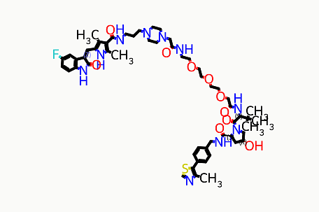 Cc1ncsc1-c1ccc(CNC(=O)[C@@H]2C[C@@H](O)CN2C(=O)[C@@H](NC(=O)COCCOCCOCCNC(=O)CN2CCN(CCCNC(=O)c3c(C)[nH]c(/C=C4\C(=O)Nc5ccc(F)cc54)c3C)CC2)C(C)(C)C)cc1